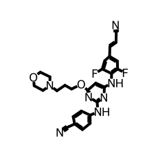 N#C/C=C/c1cc(F)c(Nc2cc(OCCCN3CCOCC3)nc(Nc3ccc(C#N)cc3)n2)c(F)c1